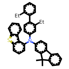 CCc1ccccc1-c1ccc(N(c2ccc3c(c2)C(C)(C)c2ccccc2-3)c2cccc3sc4ccccc4c23)cc1CC